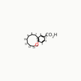 O=C(O)c1ccc2c(c1)CCCCCCCO2